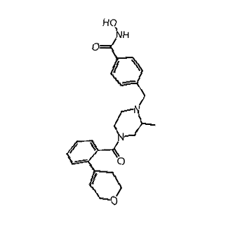 CC1CN(C(=O)c2ccccc2C2=CCOCC2)CCN1Cc1ccc(C(=O)NO)cc1